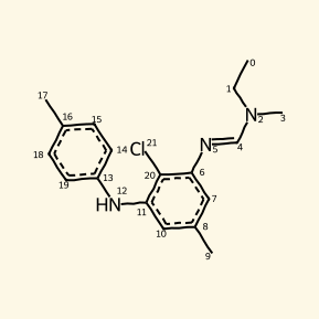 CCN(C)C=Nc1cc(C)cc(Nc2ccc(C)cc2)c1Cl